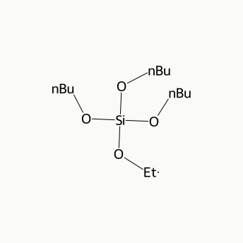 C[CH]O[Si](OCCCC)(OCCCC)OCCCC